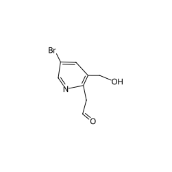 O=CCc1ncc(Br)cc1CO